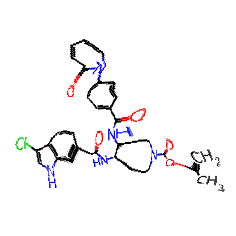 C=C(C)OC(=O)N1CC[C@@H](NC(=O)c2ccc3c(Cl)c[nH]c3c2)[C@@H](NC(=O)c2ccc(-n3ccccc3=O)cc2)C1